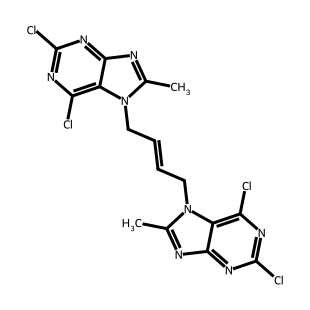 Cc1nc2nc(Cl)nc(Cl)c2n1C/C=C/Cn1c(C)nc2nc(Cl)nc(Cl)c21